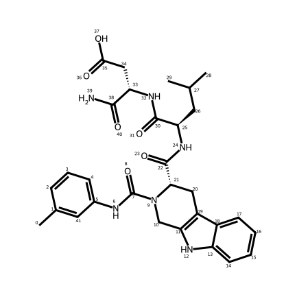 Cc1cccc(NC(=O)N2Cc3[nH]c4ccccc4c3C[C@H]2C(=O)N[C@H](CC(C)C)C(=O)N[C@@H](CC(=O)O)C(N)=O)c1